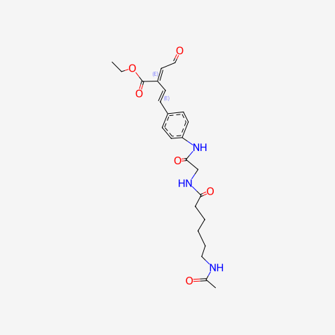 CCOC(=O)C(/C=C/c1ccc(NC(=O)CNC(=O)CCCCCNC(C)=O)cc1)=C/C=O